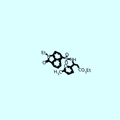 CCOC(=O)CC(NS(=O)(=O)c1ccc2c3c(cccc13)C(=O)N2CC)c1ccc(C)o1